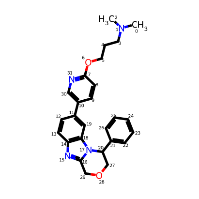 CN(C)CCCOc1ccc(-c2ccc3nc4n(c3c2)C(c2ccccc2)COC4)cn1